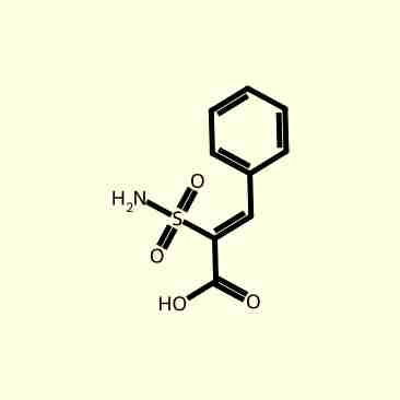 NS(=O)(=O)C(=Cc1ccccc1)C(=O)O